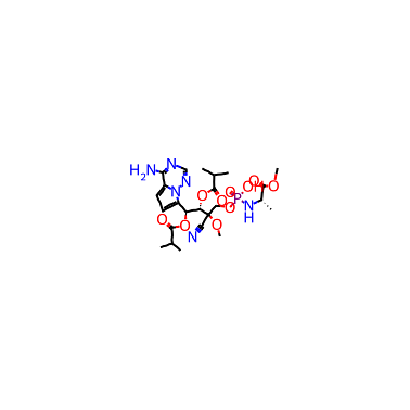 COC(=O)[C@H](C)NP(=O)(O)OCC(C#N)(OC)[C@@H](OC(=O)C(C)C)[C@@H](OC(=O)C(C)C)c1ccc2c(N)ncnn12